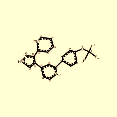 FC(F)(F)Oc1ccc(-c2cc(-c3c[nH]nc3-c3ccccn3)ccn2)cc1